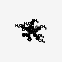 Cc1ccc(-c2ccc3c(c2)c2cc(-c4ccc(C)cc4C)ccc2n3-c2cc(-c3nc(-c4ccccc4)cc(-c4ccccc4)n3)cc(-n3c4ccc(-c5ccc(C)cc5C)cc4c4cc(-c5ccc(C)cc5C)ccc43)c2C#N)c(C)c1